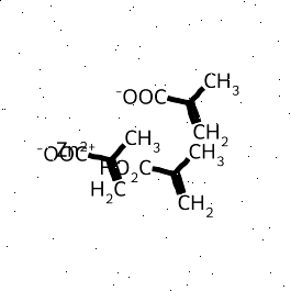 C=C(C)C(=O)O.C=C(C)C(=O)[O-].C=C(C)C(=O)[O-].[Zn+2]